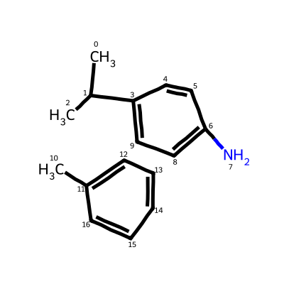 CC(C)c1ccc(N)cc1.Cc1ccccc1